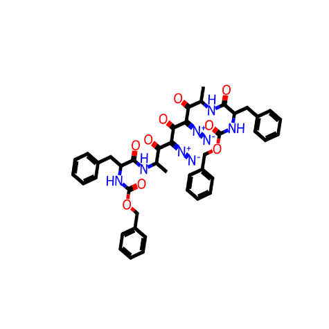 CC(NC(=O)C(Cc1ccccc1)NC(=O)OCc1ccccc1)C(=O)C(=[N+]=[N-])C(=O)C(=[N+]=[N-])C(=O)C(C)NC(=O)C(Cc1ccccc1)NC(=O)OCc1ccccc1